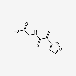 C=C(C(=O)NCC(=O)O)c1ccoc1